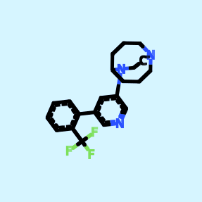 FC(F)(F)c1ccccc1-c1cncc(N2CCN3CCCC2CCC3)c1